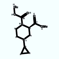 COC(=O)[C@H]1CN(C2CC2)CCN1C(=O)OC(C)(C)C